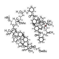 CCCCOCCOCCN(C(=O)C(C)(C)CCC)c1ccc(F)[c]([Ti]([C]2=CC=CC2)([C]2=CC=CC2)[c]2c(F)ccc(N(CCOCCOCCCC)C(=O)C(C)(C)CCC)c2F)c1F.COC(C)(C)CCCC(C)CCc1ccccc1C(=O)Nc1ccc(F)[c]([Ti]([C]2=CC=CC2)([C]2=CC=CC2)[c]2c(F)ccc(NC(=O)c3ccccc3CCC(C)CCCC(C)(C)OC)c2F)c1F